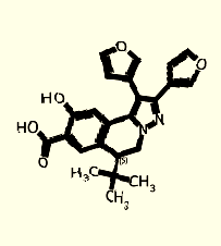 CC(C)(C)[C@@H]1Cn2nc(-c3ccoc3)c(-c3ccoc3)c2-c2cc(O)c(C(=O)O)cc21